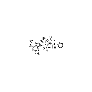 C#C[C@]1(F)[C@H](n2cnc3c(N(C)C4CC4)nc(N)nc32)O[C@@H]2C(O[P@@](=O)(N[C@H](C)C(=O)OC(C)C)Oc3ccccc3)[C@@]21O